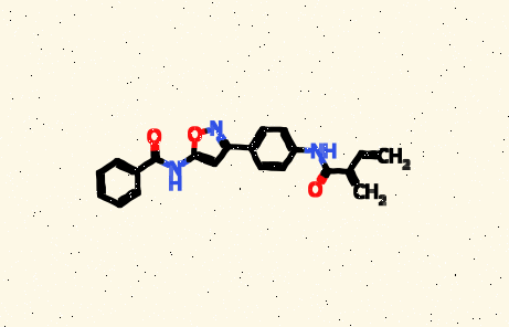 C=CC(=C)C(=O)Nc1ccc(-c2cc(NC(=O)c3ccccc3)on2)cc1